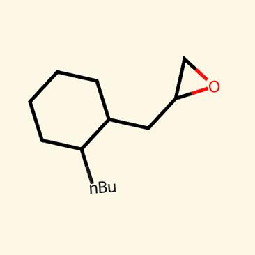 CCCCC1CCCCC1CC1CO1